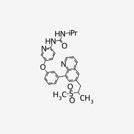 CC(C)NC(=O)Nc1ccc(Oc2cccc(-c3cc(CC(C)S(C)(=O)=O)cc4cccnc34)c2)cn1